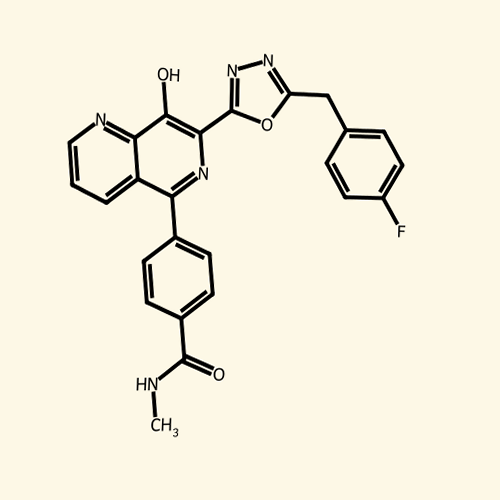 CNC(=O)c1ccc(-c2nc(-c3nnc(Cc4ccc(F)cc4)o3)c(O)c3ncccc23)cc1